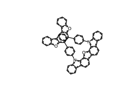 c1ccc2c(c1)oc1c(-c3ccc(-n4c5ccccc5c5ccc6c7ccc8c9ccccc9n(-c9ccc(-c%10cccc%11c%10oc%10ccccc%10%11)cc9)c8c7oc6c54)cc3)cccc12